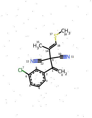 C=C(c1cccc(Cl)c1)C(C#N)(C#N)C(C)=CSC